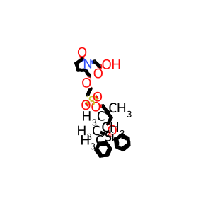 CC(C)(CCO[Si](c1ccccc1)(c1ccccc1)C(C)(C)C)COS(=O)(=O)CCOCC1CCC(=O)N1CC(=O)O